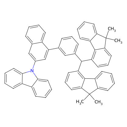 CC1(C)c2ccccc2-c2c(C(c3cccc(-c4cc(-n5c6ccccc6c6ccccc65)cc5ccccc45)c3)c3cccc4c3-c3ccccc3C4(C)C)cccc21